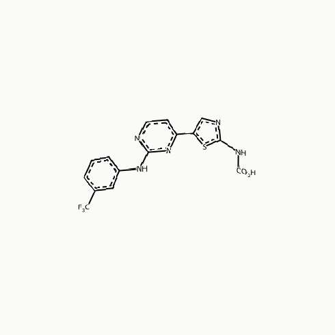 O=C(O)Nc1ncc(-c2ccnc(Nc3cccc(C(F)(F)F)c3)n2)s1